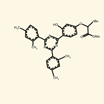 CCCCC(Oc1ccc(-c2nc(-c3ccc(C)cc3C)nc(-c3ccc(C)cc3C)n2)c(O)c1)C(=O)OC